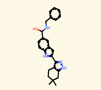 CC1(C)CCc2c(-c3cc4cc(C(O)NCc5ccccc5)ccc4[nH]3)n[nH]c2C1